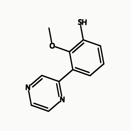 COc1c(S)cccc1-c1cnccn1